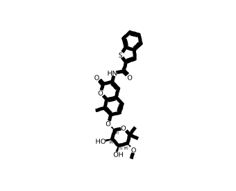 CO[C@@H]1[C@@H](O)[C@@H](O)[C@H](Oc2ccc3cc(NC(=O)c4cc5ccccc5s4)c(=O)oc3c2C)OC1(C)C